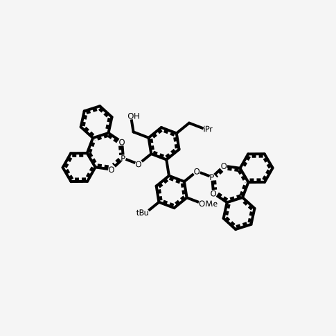 COc1cc(C(C)(C)C)cc(-c2cc(CC(C)C)cc(CO)c2Op2oc3ccccc3c3ccccc3o2)c1Op1oc2ccccc2c2ccccc2o1